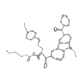 CCCCCC(=O)O/N=C(\CCSc1ccc(CC)cc1)C(=O)c1ccc2c(c1)c1cc(C(=O)c3ccccc3)ccc1n2CC